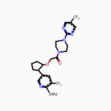 COc1ncc(C2CCCC2OCC(=O)N2CCN(c3ncc(C(F)(F)F)cn3)CC2)cc1C(F)(F)F